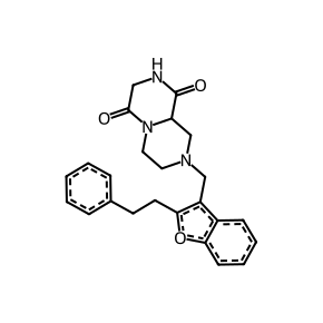 O=C1NCC(=O)N2CCN(Cc3c(CCc4ccccc4)oc4ccccc34)CC12